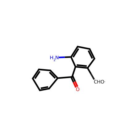 Nc1cccc([C]=O)c1C(=O)c1ccccc1